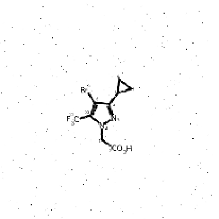 O=C(O)Cn1nc(C2CC2)c(Br)c1C(F)(F)F